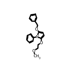 COCCOc1ccc(OCc2ccccc2)n1-c1ccccc1